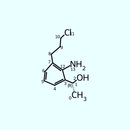 C[C@@H](O)c1cccc(CCCCl)c1N